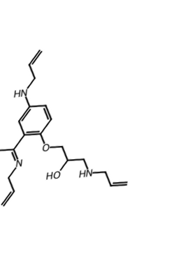 C=CCN=C(C)c1cc(NCC=C)ccc1OCC(O)CNCC=C